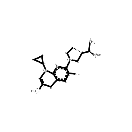 CN[C@H](C)[C@H]1CCN(c2nc3c(cc2F)CC(C(=O)O)=CN3C2CC2)C1